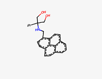 CC(C)C(CO)(CO)NCc1ccc2ccc3cccc4ccc1c2c34